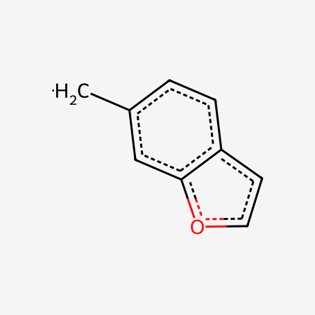 [CH2]c1ccc2ccoc2c1